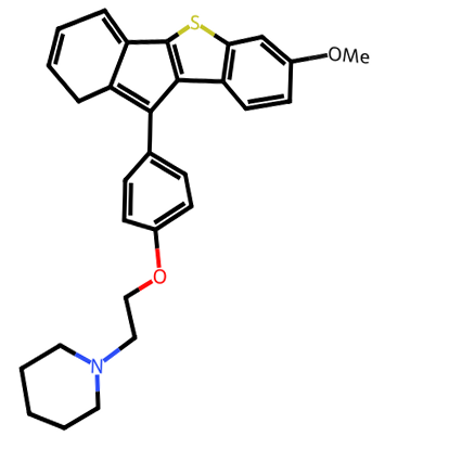 COc1ccc2c3c(sc2c1)C1=CC=CCC1=C3c1ccc(OCCN2CCCCC2)cc1